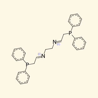 C(/CP(c1ccccc1)c1ccccc1)=N\CC/N=C/CP(c1ccccc1)c1ccccc1